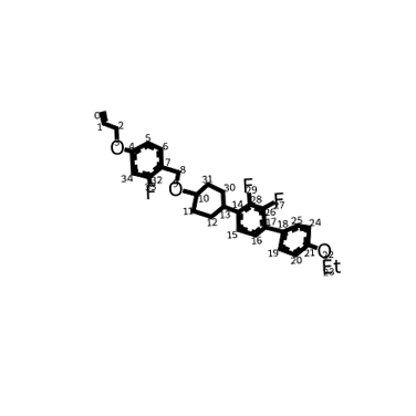 C=CCOc1ccc(COC2CCC(c3ccc(-c4ccc(OCC)cc4)c(F)c3F)CC2)c(F)c1